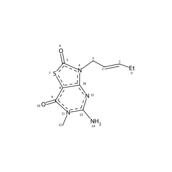 CCC=CCn1c(=O)sc2c(=O)n(C)c(N)nc21